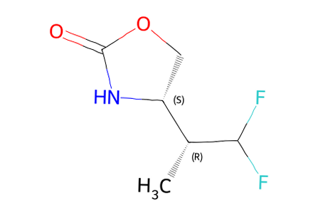 C[C@@H](C(F)F)[C@H]1COC(=O)N1